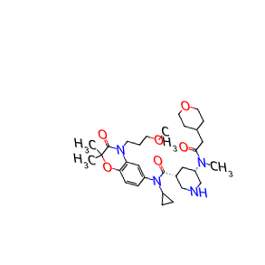 COCCCN1C(=O)C(C)(C)Oc2ccc(N(C(=O)[C@H]3CNC[C@@H](N(C)C(=O)CC4CCOCC4)C3)C3CC3)cc21